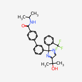 CC(C)NC(=O)c1ccc(-c2cccc(C3(c4ccccc4C(F)(F)F)N=CC(C(C)(C)O)=N3)c2)cc1